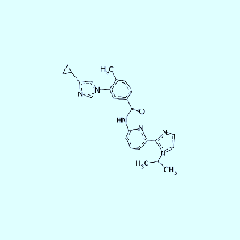 Cc1ccc(C(=O)Nc2cccc(-c3nccn3C(C)C)n2)cc1-n1cnc(C2CC2)c1